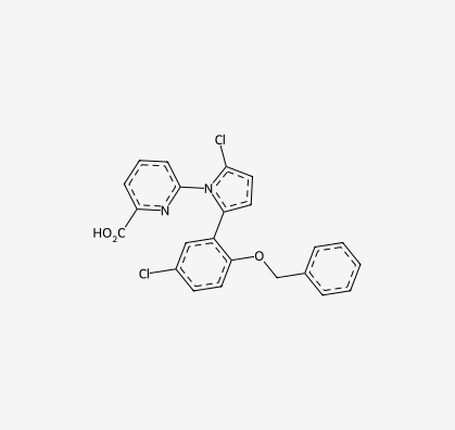 O=C(O)c1cccc(-n2c(Cl)ccc2-c2cc(Cl)ccc2OCc2ccccc2)n1